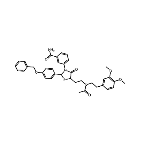 COc1ccc(CCN(CCC2SC(c3ccc(OCc4ccccc4)cc3)N(c3cccc(C(N)=O)c3)C2=O)C(C)=O)cc1OC